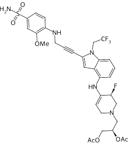 COc1cc(S(N)(=O)=O)ccc1NCC#Cc1cc2c(NC3=CCN(C[C@H](COC(C)=O)OC(C)=O)C[C@@H]3F)cccc2n1CC(F)(F)F